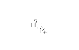 NC1=NC2(c3cc(NC(=O)c4ccc(Cl)cn4)ccc3F)COCC2CS1